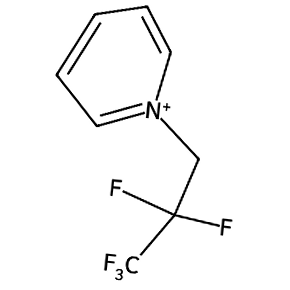 FC(F)(F)C(F)(F)C[n+]1ccccc1